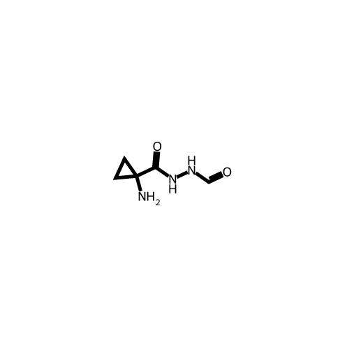 NC1(C(=O)NNC=O)CC1